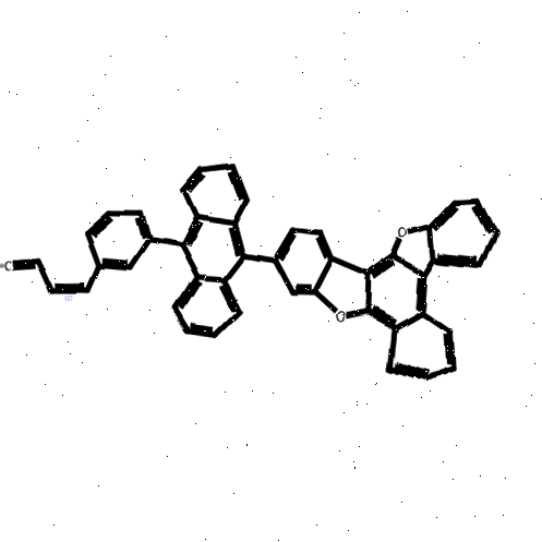 C=C/C=C\c1cccc(-c2c3ccccc3c(-c3ccc4c(c3)oc3c5ccccc5c5c6ccccc6oc5c43)c3ccccc23)c1